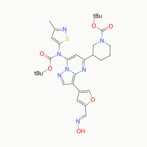 Cc1cc(N(C(=O)OC(C)(C)C)c2cc(C3CCCN(C(=O)OC(C)(C)C)C3)nc3c(-c4coc(C=NO)c4)cnn23)sn1